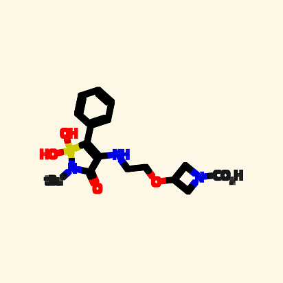 CC(C)(C)N1C(=O)C(NCCOC2CN(C(=O)O)C2)=C(c2ccccc2)S1(O)O